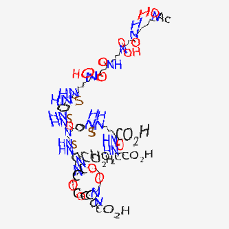 CC(=O)N(O)CCCCCNC(=O)CCC(=O)N(O)CCCCCNC(=O)CCC(=O)N(O)CCCCCNC(=S)Nc1ccc(NC(=S)NCCN(CCNC(=S)Nc2cc(CN3CCOCCOCCN(Cc4cccc(C(=O)O)n4)CCOCCOCC3)nc(C(=O)O)c2)CC(=O)c2ccc(NC(=S)NCCCCC(NC(=O)NC(CC(=O)O)C(=O)O)C(=O)O)cc2)cc1